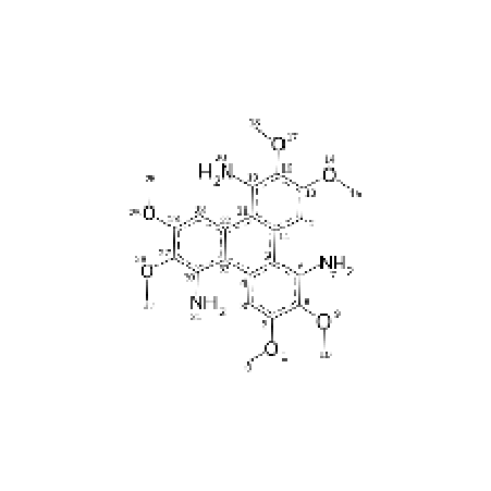 COc1cc2c(c(N)c1OC)c1cc(OC)c(OC)c(N)c1c1cc(OC)c(OC)c(N)c21